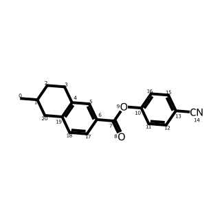 CC1CCc2cc(C(=O)Oc3ccc(C#N)cc3)ccc2C1